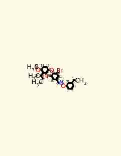 CCc1cccc(ON=Cc2cc(Br)c(Oc3ccc(OC)c(C(C)CC)c3)c(Br)c2)c1